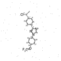 [CH2]C(Cl)c1ccc(-c2ncn(-c3ccc(OC(F)(F)F)cc3)n2)cc1